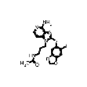 CC(=O)NCCCn1c(Sc2cc3c(cc2I)OCO3)nc2c(N)nccc21